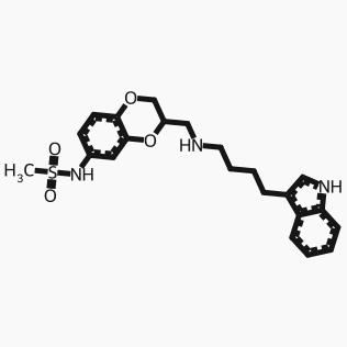 CS(=O)(=O)Nc1ccc2c(c1)OC(CNCCCCc1c[nH]c3ccccc13)CO2